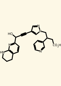 O=C(O)CC(Cn1cc(C#CC(O)c2ccc3c(n2)NCCC3)cn1)c1cccnc1